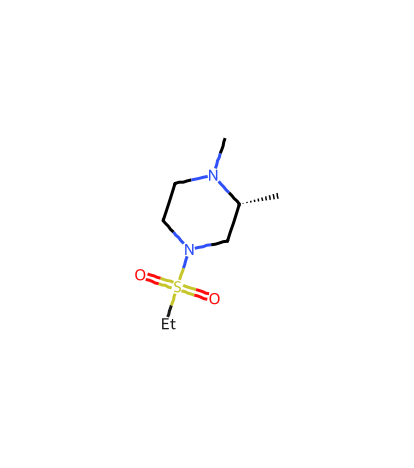 CCS(=O)(=O)N1CCN(C)[C@H](C)C1